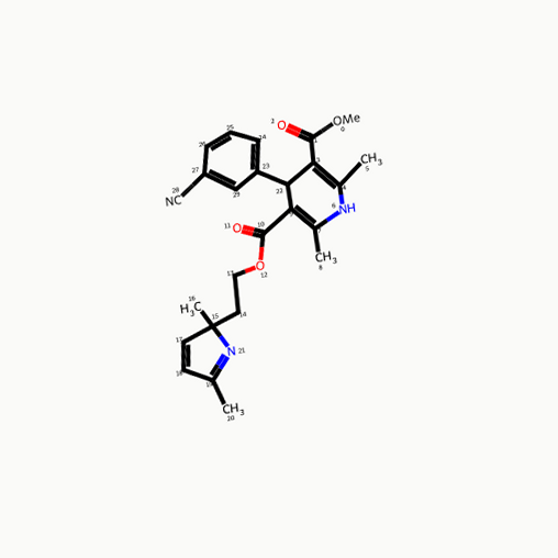 COC(=O)C1=C(C)NC(C)=C(C(=O)OCCC2(C)C=CC(C)=N2)C1c1cccc(C#N)c1